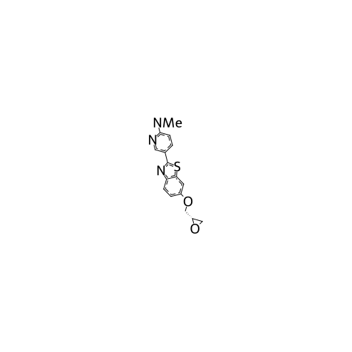 CNc1ccc(-c2nc3ccc(OC[C@@H]4CO4)cc3s2)cn1